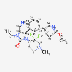 [2H]Cn1c(=O)n([C@@H]2CCN(C)CC2(F)F)c2c3cc(-c4ccc(OC)nc4)ccc3ncc21